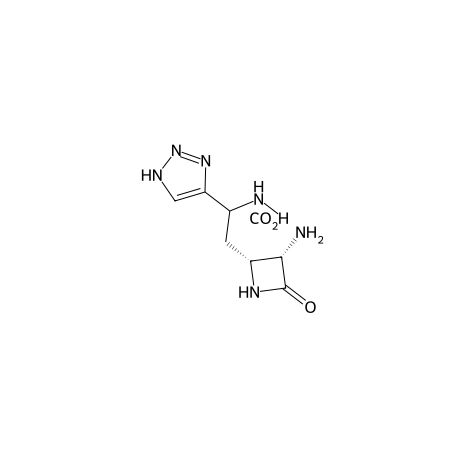 N[C@@H]1C(=O)N[C@@H]1CC(NC(=O)O)c1c[nH]nn1